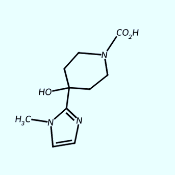 Cn1ccnc1C1(O)CCN(C(=O)O)CC1